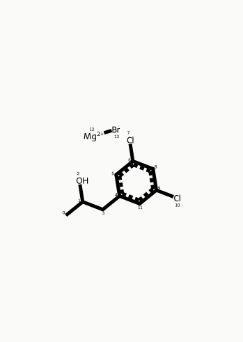 CC(O)Cc1cc(Cl)cc(Cl)c1.[Mg+2][Br]